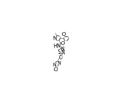 COc1ccccc1-c1cc(C)ncc1C(=O)Nc1nnc(OCc2cnc(Cl)cn2)s1